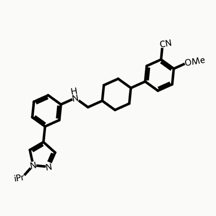 COc1ccc(C2CCC(CNc3cccc(-c4cnn(C(C)C)c4)c3)CC2)cc1C#N